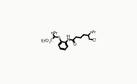 CCCC(CCl)CCCC(=O)Nc1ccccc1SC(CCC)C(=O)OCC